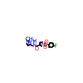 Cn1ccc(CNC(=O)c2ccn(S(=O)(=O)c3ccc(F)cc3)c2)n1